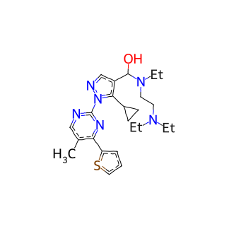 CCN(CC)CCN(CC)C(O)c1cnn(-c2ncc(C)c(-c3cccs3)n2)c1C1CC1